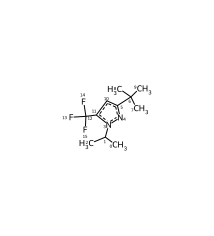 CC(C)n1nc(C(C)(C)C)cc1C(F)(F)F